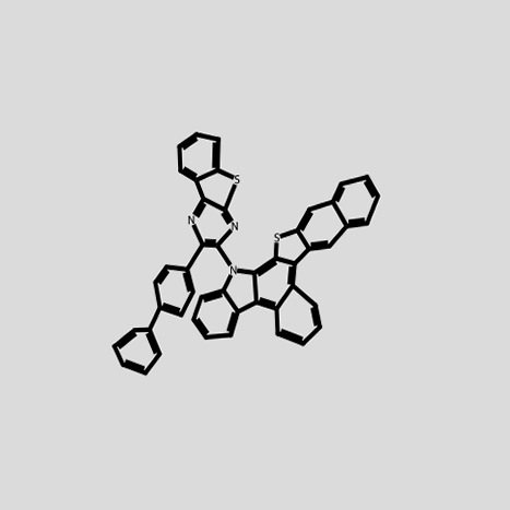 c1ccc(-c2ccc(-c3nc4c(nc3-n3c5ccccc5c5c6ccccc6c6c7cc8ccccc8cc7sc6c53)sc3ccccc34)cc2)cc1